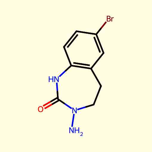 NN1CCc2cc(Br)ccc2NC1=O